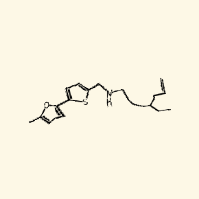 C=CCC(CC)CCNCc1ccc(-c2ccc(C)o2)s1